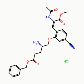 COC(=O)/C(=C\c1ccc(C#N)cc1OC[C@H](N)CCC(=O)OCc1ccccc1)NC(C)=O.Cl